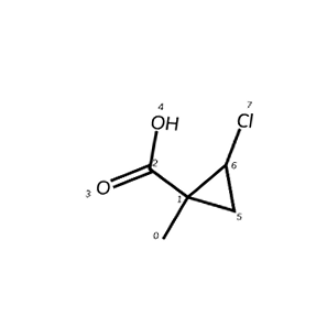 CC1(C(=O)O)CC1Cl